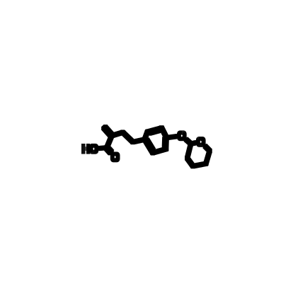 C=C(CCc1ccc(OC2CCCCO2)cc1)C(=O)O